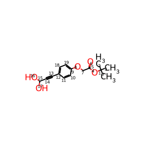 CC(C)(C)OC(=O)COc1ccc(C#CC(O)O)cc1